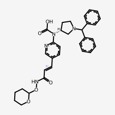 O=C(/C=C/c1ccc(N(C(=O)O)[C@@H]2CCN(C(c3ccccc3)c3ccccc3)C2)nc1)NOC1CCCCO1